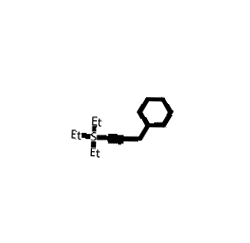 CCS(C#CCC1CCCCC1)(CC)CC